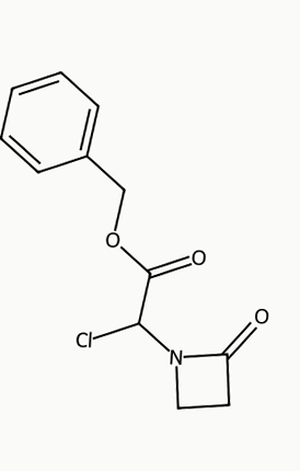 O=C(OCc1ccccc1)C(Cl)N1CCC1=O